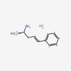 CCOC(=O)[C@@H](N)CC=Cc1ccccc1.Cl